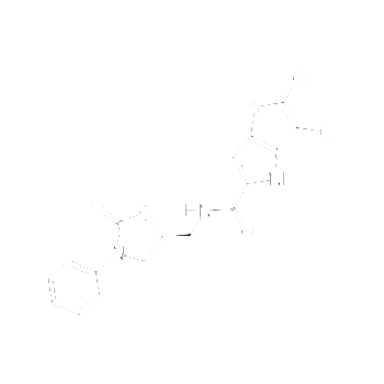 O=C(NC[C@H]1CN(c2ccccc2)C(=O)O1)c1cc2sc(Cl)c(Cl)c2[nH]1